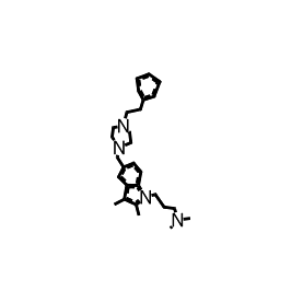 Cc1c(C)n(CCCN(C)C)c2ccc(CN3CCN(CCc4ccccc4)CC3)cc12